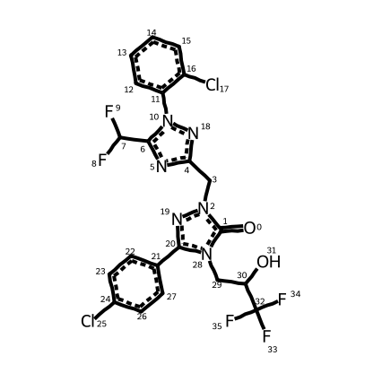 O=c1n(Cc2nc(C(F)F)n(-c3ccccc3Cl)n2)nc(-c2ccc(Cl)cc2)n1CC(O)C(F)(F)F